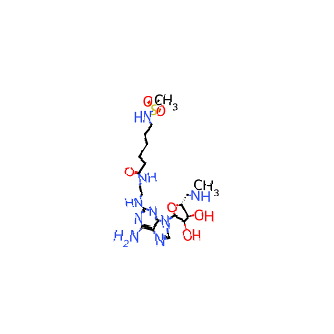 CNC[C@H]1OC(n2cnc3c(N)nc(NCCNC(=O)CCCCCNS(C)(=O)=O)nc32)[C@H](O)[C@@H]1O